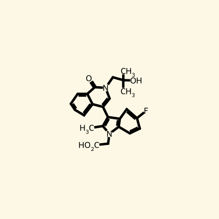 Cc1c(-c2cn(CC(C)(C)O)c(=O)c3ccccc23)c2cc(F)ccc2n1CC(=O)O